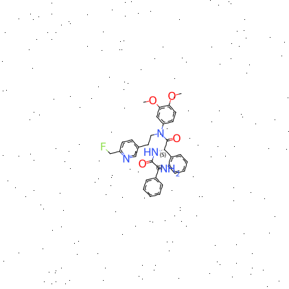 COc1ccc(N(CCc2ccc(CF)nc2)C(=O)[C@@H](NC(=O)[C@@H](N)c2ccccc2)c2ccccc2)cc1OC